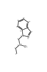 CC[S+]([O-])Cn1ncc2ncccc21